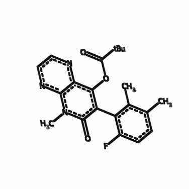 Cc1ccc(F)c(-c2c(OC(=O)C(C)(C)C)c3nccnc3n(C)c2=O)c1C